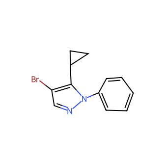 Brc1cnn(-c2ccccc2)c1C1CC1